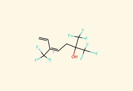 C=C/C(=C\CC(O)(C(F)(F)F)C(F)(F)F)C(F)(F)F